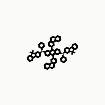 CC1(C)c2ccccc2-c2ccc(N(c3ccccc3)c3ccc4c(-c5ccc6ccc7ccccc7c6c5)c5cc(N(c6ccccc6)c6ccc7c(c6)C(C)(C)c6ccccc6-7)ccc5c(-c5ccc6ccc7ccccc7c6c5)c4c3)cc21